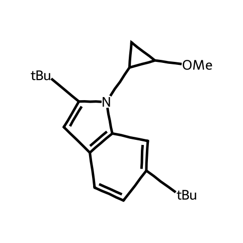 COC1CC1n1c(C(C)(C)C)cc2ccc(C(C)(C)C)cc21